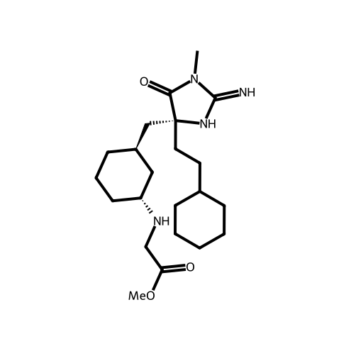 COC(=O)CN[C@@H]1CCC[C@@H](C[C@@]2(CCC3CCCCC3)NC(=N)N(C)C2=O)C1